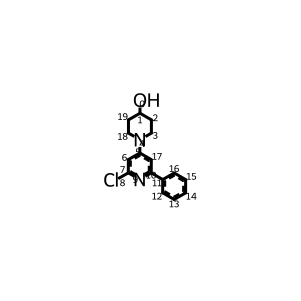 OC1CCN(c2cc(Cl)nc(-c3ccccc3)c2)CC1